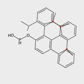 CC(C)c1cccc(C(C)C)c1-c1c(OPO)ccc(-c2ccccc2)c1-c1c(C(C)C)cccc1C(C)C